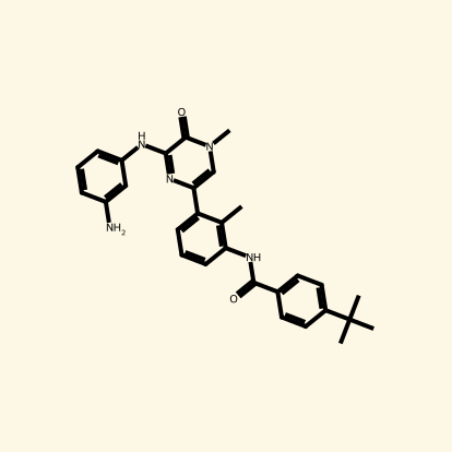 Cc1c(NC(=O)c2ccc(C(C)(C)C)cc2)cccc1-c1cn(C)c(=O)c(Nc2cccc(N)c2)n1